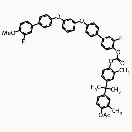 COc1ccc(-c2ccc(Oc3cccc(Oc4ccc(-c5ccc(OC(=O)Oc6ccc(C(C)(C)c7ccc(OC(C)=O)c(C)c7)cc6C)c(F)c5)cc4)c3)cc2)cc1F